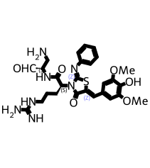 COc1cc(/C=C2\S/C(=N\c3ccccc3)N([C@@H](CCCNC(=N)N)C(=O)N[C@H](C=O)CN)C2=O)cc(OC)c1O